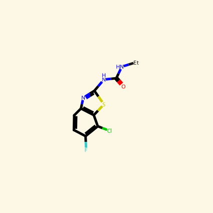 CCNC(=O)Nc1nc2ccc(F)c(Cl)c2s1